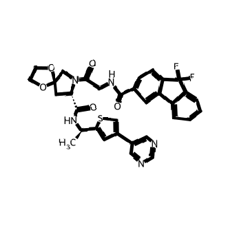 C[C@@H](NC(=O)[C@@H]1CC2(CN1C(=O)CNC(=O)c1ccc3c(c1)-c1ccccc1C3(F)F)OCCO2)c1cc(-c2cncnc2)cs1